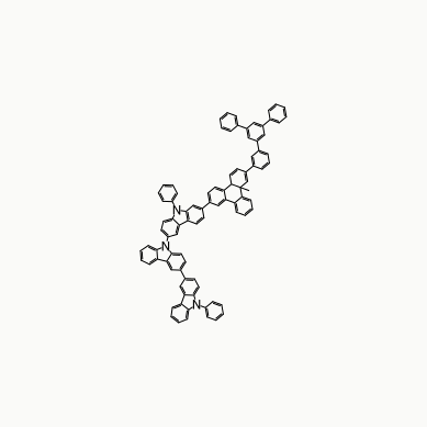 CC12C=C(c3cccc(-c4cc(-c5ccccc5)cc(-c5ccccc5)c4)c3)C=CC1c1ccc(-c3ccc4c5cc(-n6c7ccccc7c7cc(-c8ccc9c(c8)c8ccccc8n9-c8ccccc8)ccc76)ccc5n(-c5ccccc5)c4c3)cc1-c1ccccc12